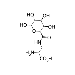 NC(CNC(=O)[C@H]1O[C@H](O)[C@H](O)[C@@H](O)[C@H]1O)C(=O)O